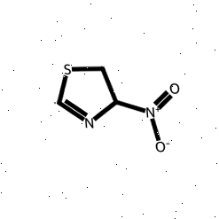 O=[N+]([O-])C1CS[C]=N1